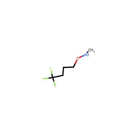 CNOCCCC(F)(F)F